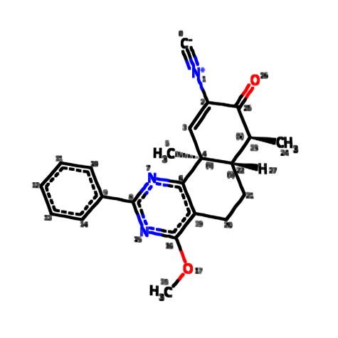 [C-]#[N+]C1=C[C@]2(C)c3nc(-c4ccccc4)nc(OC)c3CC[C@H]2[C@H](C)C1=O